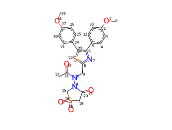 COc1ccc(-c2nc(CN(C(C)=O)N3CS(=O)(=O)CC3=O)sc2-c2ccc(OC)cc2)cc1